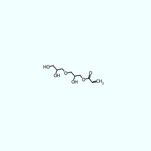 C=CC(=O)OCC(O)COCC(O)CO